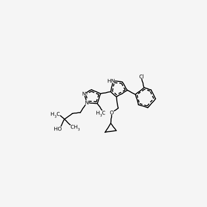 Cc1c(-c2[nH]cc(-c3ccccc3Cl)c2COC2CC2)cnn1CCC(C)(C)O